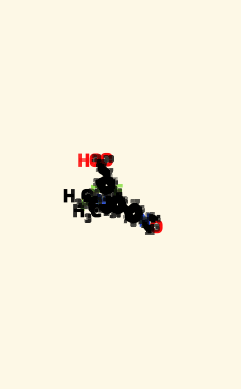 C[C@@H]1Cc2cc(-c3ccc(N4CCOCC4)cc3)ccc2[C@@H](c2c(F)cc(/C=C/C(=O)O)cc2F)N1CC(C)(C)F